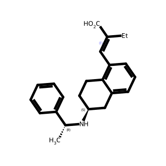 CC/C(=C\c1cccc2c1CC[C@H](N[C@H](C)c1ccccc1)C2)C(=O)O